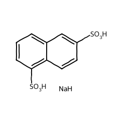 O=S(=O)(O)c1ccc2c(S(=O)(=O)O)cccc2c1.[NaH]